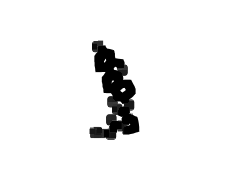 CC(C)(C)OC(=O)N1CCC[C@H]1C(=O)OC1CCc2c(ccc3c2OCc2cc(Cl)ccc2-3)C1=O